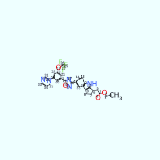 CCOC(=O)CC1CCc2c1[nH]c1ccc(-c3noc(-c4cc(OC(F)(F)F)cc(N5C=NC=CC5)c4)n3)cc21